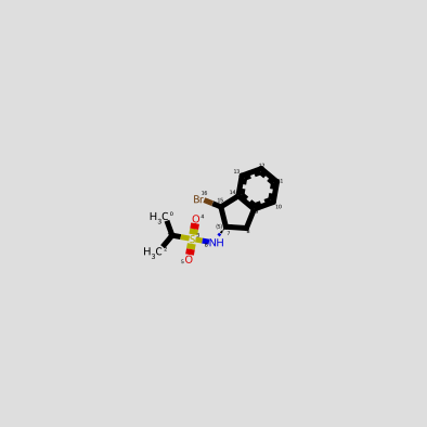 CC(C)S(=O)(=O)N[C@H]1Cc2ccccc2C1Br